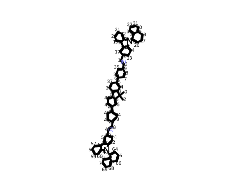 CC1(C)c2cc(-c3ccc(/C=C/c4ccc5c(c4)c4ccccc4n5-c4cccc5ccccc45)cc3)ccc2-c2ccc(-c3ccc(/C=C/c4ccc5c(c4)c4ccccc4n5-c4cccc5ccccc45)cc3)cc21